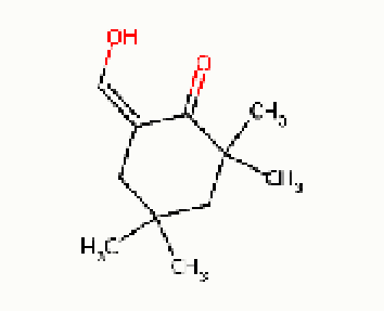 CC1(C)CC(=CO)C(=O)C(C)(C)C1